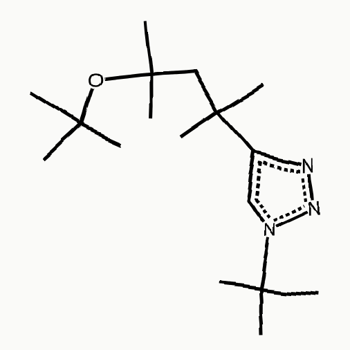 CC(C)(C)OC(C)(C)CC(C)(C)c1cn(C(C)(C)C)nn1